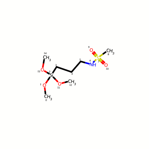 CO[Si](CCCNS(C)(=O)=O)(OC)OC